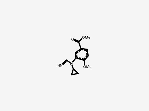 COC(=O)c1ccc(OC)c(N(C=N)C2CC2)c1